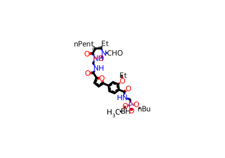 CBOP(=O)(CNC(=O)c1ccc(-c2ccc(C(=O)NCNC(=O)[C@H](CCCCC)[C@@H](CC)N(O)C=O)o2)cc1OCC)OCCCC